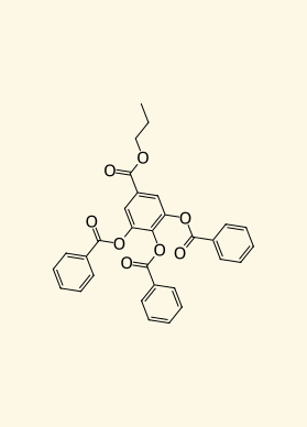 CCCOC(=O)c1cc(OC(=O)c2ccccc2)c(OC(=O)c2ccccc2)c(OC(=O)c2ccccc2)c1